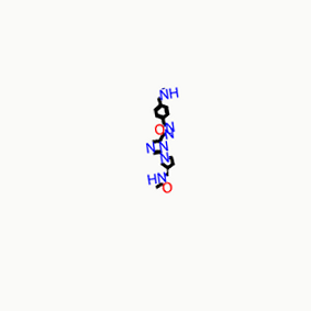 CNCc1ccc(-c2nnc(-c3cncc(N4CC[C@@H](CNC(C)=O)C4)n3)o2)cc1